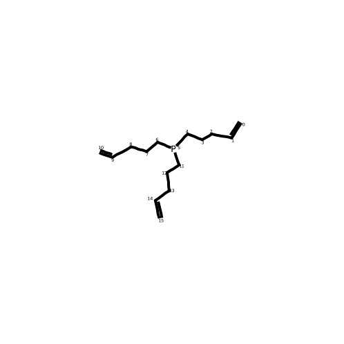 C=CCCCP(CCCC=C)CCCC=C